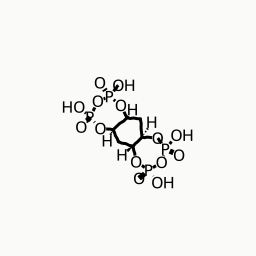 O=P1(O)O[C@@H]2C[C@H]3OP(=O)(O)OP(=O)(O)O[C@@H]3C[C@H]2OP(=O)(O)O1